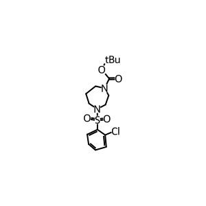 CC(C)(C)OC(=O)N1CCCN(S(=O)(=O)c2ccccc2Cl)CC1